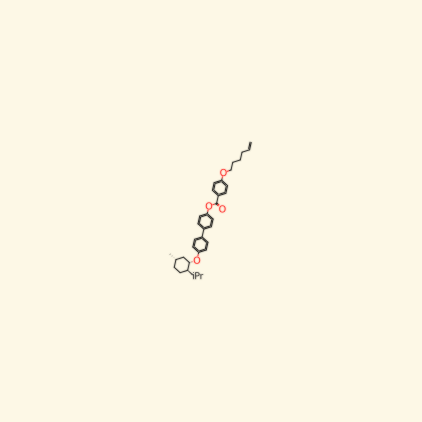 C=CCCCCOc1ccc(C(=O)Oc2ccc(-c3ccc(O[C@H]4C[C@@H](C)CC[C@@H]4C(C)C)cc3)cc2)cc1